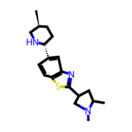 CC1CC(c2nc3cc([C@H]4CC[C@H](C)CN4)ccc3s2)CN1C